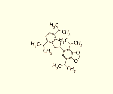 CC(C)c1ccc(C(C)C)c2c1CC(c1cc(C(C)C)c3c(c1C(C)C)OCO3)C2